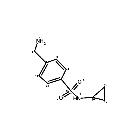 NCc1ccc(S(=O)(=O)NC2CC2)cc1